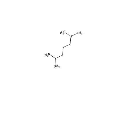 CN(C)CCCC(N)N